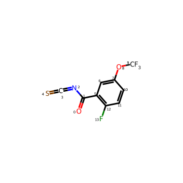 O=C(N=C=S)c1cc(OC(F)(F)F)ccc1F